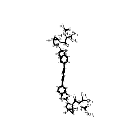 COC(=O)N[C@H](C(=O)N1[C@@H]2C[C@@H]2C[C@H]1c1nc2cc(C#CC#Cc3ccc4[nH]c([C@H]5C[C@H]6C[C@H]6N5C(=O)[C@@H](NC(=O)O)C(C)C)nc4c3)ccc2[nH]1)C(C)C